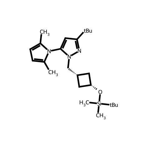 Cc1ccc(C)n1-c1cc(C(C)(C)C)nn1C[C@H]1C[C@@H](O[Si](C)(C)C(C)(C)C)C1